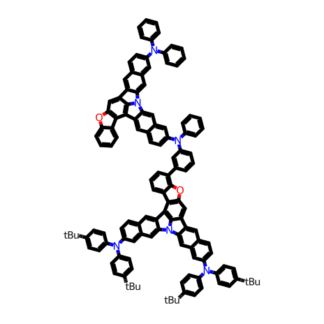 CC(C)(C)c1ccc(N(c2ccc(C(C)(C)C)cc2)c2ccc3cc4c5cc6oc7c(-c8cccc(N(c9ccccc9)c9ccc%10cc%11c%12c%13c(cc%14c%15cc%16ccc(N(c%17ccccc%17)c%17ccccc%17)cc%16cc%15n(c%11cc%10c9)c%14%12)oc9ccccc9%13)c8)cccc7c6c6c7cc8ccc(N(c9ccc(C(C)(C)C)cc9)c9ccc(C(C)(C)C)cc9)cc8cc7n(c4cc3c2)c56)cc1